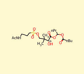 CCCCC(=O)OC(CCC)OC(=O)[C@H](O)C(C)(C)COS(=O)(=O)CCCNC(C)=O